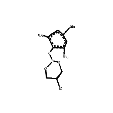 CCC1COP(Oc2c(C(C)(C)C)cc(C(C)(C)C)cc2C(C)(C)C)OC1